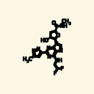 CNC(=O)[C@@H]1C[C@@H](O)C(n2cnc3c(NCC(F)F)nc(-c4cn(C)nn4)nc32)O1